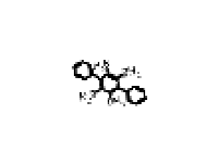 Bc1c(B)c(-c2ccccc2)c(B)c(B)c1-c1ccccc1